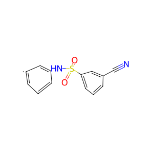 N#Cc1cccc(S(=O)(=O)Nc2c[c]ccc2)c1